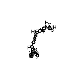 O=C1CC[C@@H](Nc2ccc(N3CCC(O)(CC(=O)N4CC5(C4)CN(c4ccc(-c6cc(F)c7c(c6)C(=O)N(C(C(=O)Nc6nccs6)c6ncn8c6CCC8)C7)cc4)C5)CC3)c(F)c2)C(=O)N1